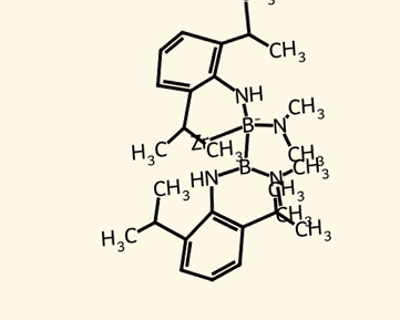 CC(C)c1cccc(C(C)C)c1NB(N(C)C)[B-]([Zr])(Nc1c(C(C)C)cccc1C(C)C)N(C)C